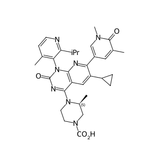 Cc1ccnc(C(C)C)c1-n1c(=O)nc(N2CCN(C(=O)O)C[C@@H]2C)c2cc(C3CC3)c(-c3cc(C)c(=O)n(C)c3)nc21